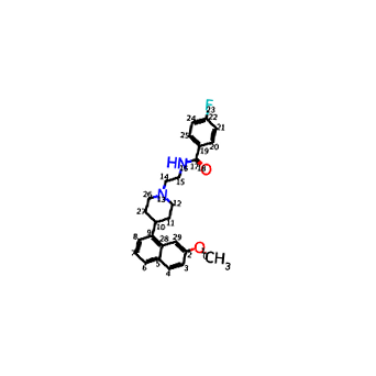 COc1ccc2cccc(C3CCN(CCNC(=O)c4ccc(F)cc4)CC3)c2c1